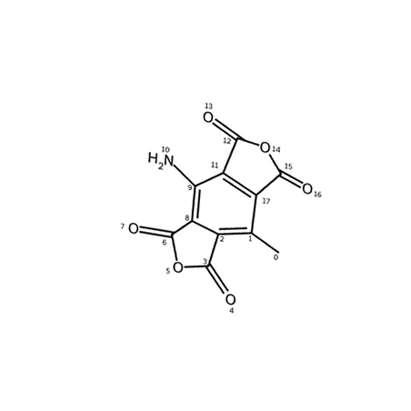 Cc1c2c(=O)oc(=O)c2c(N)c2c(=O)oc(=O)c12